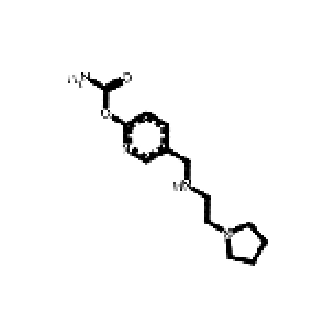 NC(=O)Oc1ccc(CNCCN2CCCC2)cn1